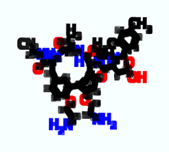 Cc1ccc(C(=O)N[C@@H](CCO)C(=O)N(C)[C@@H]2C(=O)N[C@@H](C)C(=O)N[C@H](C(=O)NCC#N)Cc3ccc(OCCN)c(c3)-c3cc2ccc3OCCN)c(C)c1